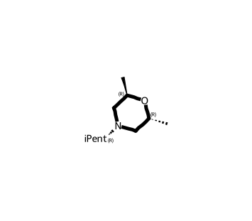 CCC[C@@H](C)N1C[C@@H](C)O[C@H](C)C1